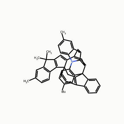 CCC(C)c1ccc2c(c1)C13C4=C(C=CC5(C4)C(=CC4=C5c5ccc(C)cc5C4(C)C)c4cc1c1c(c4)c4cc(C)ccc4n1-2)c1ccccc13